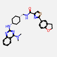 CN(C)c1nc(N[C@H]2CC[C@@H](CNC(=O)c3csc(-c4ccc5c(c4)CCO5)n3)CC2)nc2ccccc12